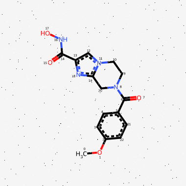 COc1ccc(C(=O)N2CCn3cc(C(=O)NO)nc3C2)cc1